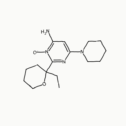 CCC1(c2nc(N3CCCCC3)cc(N)[n+]2[O-])CCCCO1